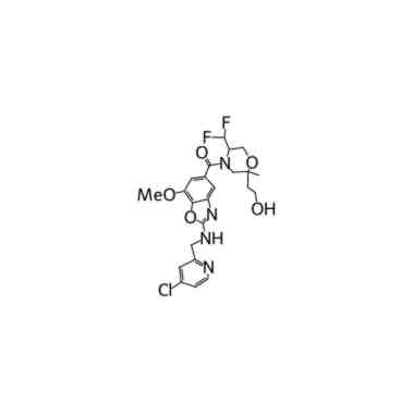 COc1cc(C(=O)N2CC(C)(CCO)OCC2C(F)F)cc2nc(NCc3cc(Cl)ccn3)oc12